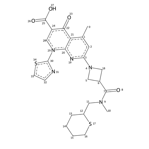 Cc1cc(N2CC(C(=O)N(C)CC3CCCCS3)C2)nc2c1c(=O)c(C(=O)O)cn2-c1nccs1